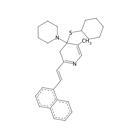 CC1=CN=C(C=Cc2cccc3ccccc23)CC1(SC1CCCCC1)N1CCCCC1